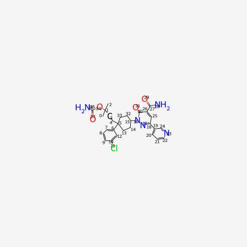 CC(C)(CCC1(c2cccc(Cl)c2)CCC(n2nc(-c3cccnc3)cc(C(N)=O)c2=O)CC1)OC(N)=O